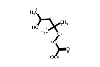 CC(O)CC(C)(C)OOC(=O)C(C)(C)C